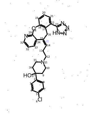 OC1(c2ccc(Cl)cc2)CCN(CC/C=C2/Cc3c(cccc3-c3nnn[nH]3)Oc3ncccc32)CC1